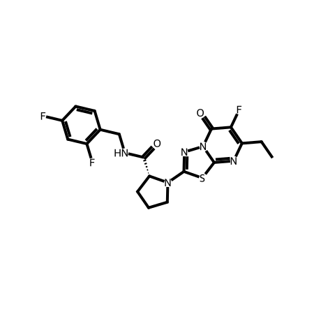 CCc1nc2sc(N3CCC[C@@H]3C(=O)NCc3ccc(F)cc3F)nn2c(=O)c1F